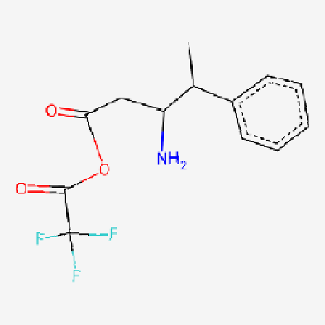 CC(c1ccccc1)C(N)CC(=O)OC(=O)C(F)(F)F